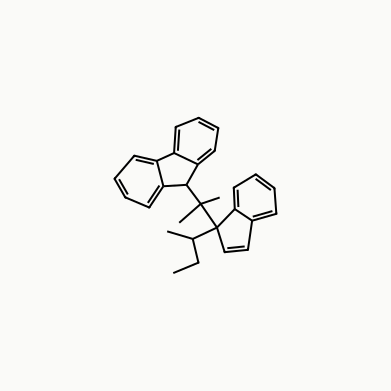 CCC(C)C1(C(C)(C)C2c3ccccc3-c3ccccc32)C=Cc2ccccc21